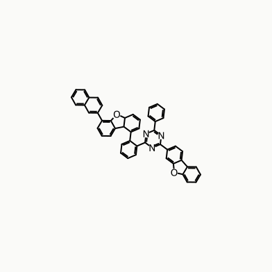 C1=CC2Oc3c(-c4ccc5ccccc5c4)cccc3C2C(c2ccccc2-c2nc(-c3ccccc3)nc(-c3ccc4c(c3)oc3ccccc34)n2)=C1